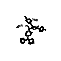 Cc1ccc(-c2nc(C(C(C)C)N3CCN(C(c4ccccc4)c4ccccc4)CC3)c(-c3ccc(C)cc3)[nH]2)cc1.Cl.Cl.Cl